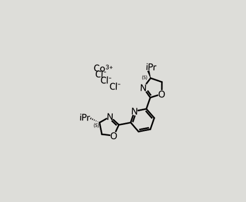 CC(C)[C@H]1COC(c2cccc(C3=N[C@@H](C(C)C)CO3)n2)=N1.[Cl-].[Cl-].[Cl-].[Co+3]